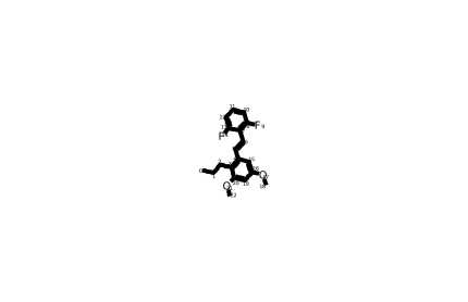 CCCc1c(C=Cc2c(F)cccc2F)cc(OC)cc1OC